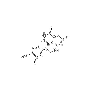 N#Cc1ccc([C@@H]2CNc3cc(F)cc4c(=O)[nH]nc2c34)cc1F